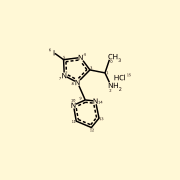 CC(N)c1nc(I)nn1-c1ncccn1.Cl